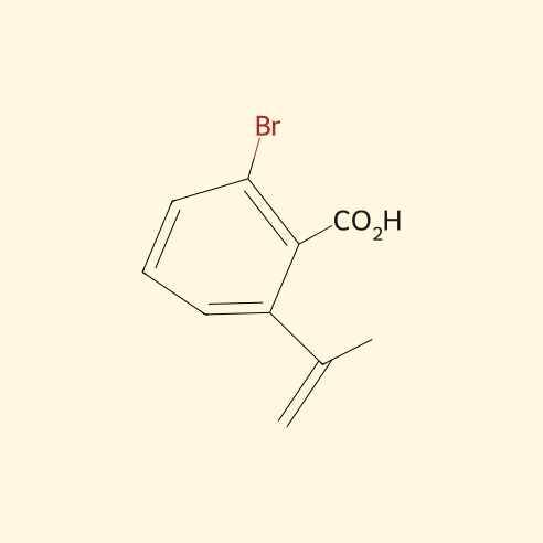 C=C(C)c1cccc(Br)c1C(=O)O